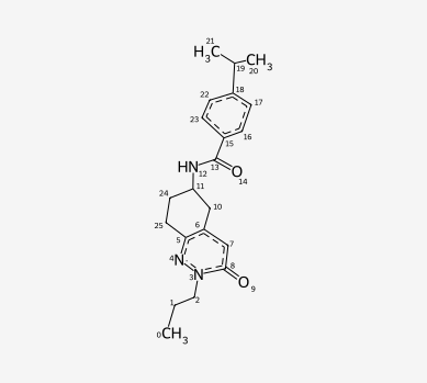 CCCn1nc2c(cc1=O)CC(NC(=O)c1ccc(C(C)C)cc1)CC2